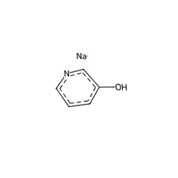 Oc1cccnc1.[Na]